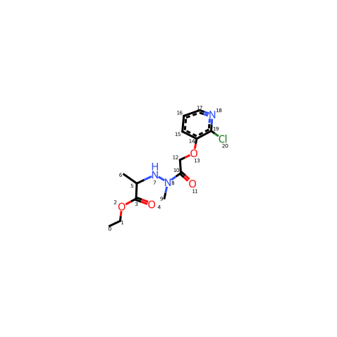 CCOC(=O)C(C)NN(C)C(=O)COc1cccnc1Cl